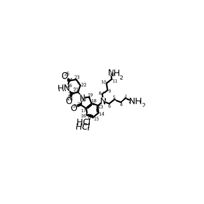 Cl.Cl.NCCCCN(CCCCN)c1cccc2c1CN(C1CCC(=O)NC1=O)C2=O